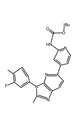 Cc1ccc(-n2c(C)nc3ccc(-c4ccnc(NC(=O)OC(C)(C)C)c4)nc32)cc1F